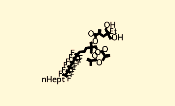 C=C(C)C(=O)OCC(CCCC(F)(F)C(F)(F)C(F)(F)C(F)(F)C(F)(F)C(F)(F)CCCCCCC)(COC(=O)C(=C)C)COC(=O)C(=C)CC(CC)(CO)CO